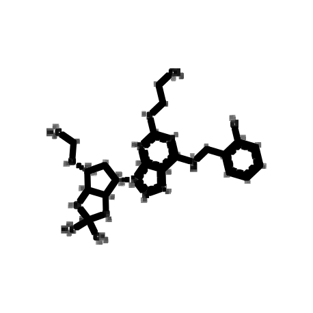 CCCSc1nc(NCc2ccccc2Cl)c2nnn([C@H]3C[C@@H](OCC)C4OC(C)(C)OC43)c2n1